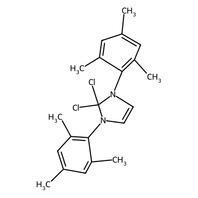 Cc1cc(C)c(N2C=CN(c3c(C)cc(C)cc3C)C2(Cl)Cl)c(C)c1